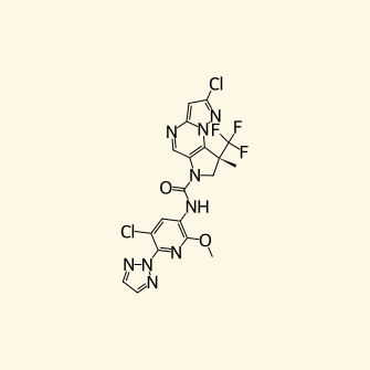 COc1nc(-n2nccn2)c(Cl)cc1NC(=O)N1C[C@@](C)(C(F)(F)F)c2c1cnc1cc(Cl)nn21